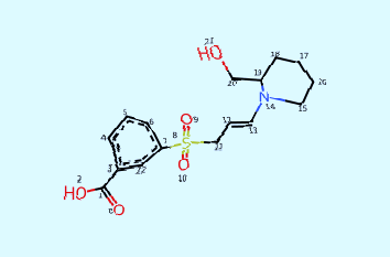 O=C(O)c1cccc(S(=O)(=O)CC=CN2CCCCC2CO)c1